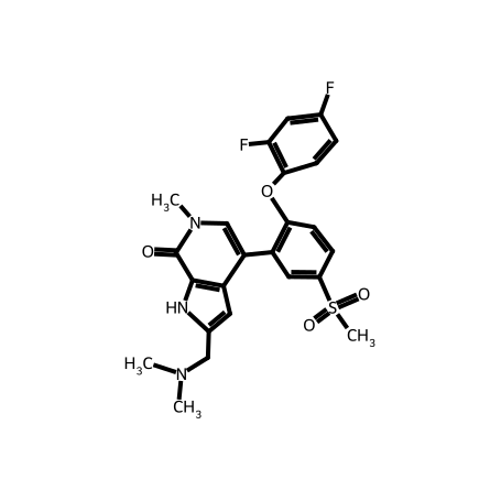 CN(C)Cc1cc2c(-c3cc(S(C)(=O)=O)ccc3Oc3ccc(F)cc3F)cn(C)c(=O)c2[nH]1